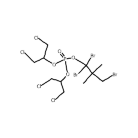 CC(C)(CBr)C(Br)(Br)OP(=O)(OC(CCl)CCl)OC(CCl)CCl